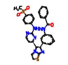 CS(=O)(=O)c1ccc(Nc2nccc(-c3c(-c4cccc(NC(=O)c5ccccc5)c4)nc4sccn34)n2)cc1